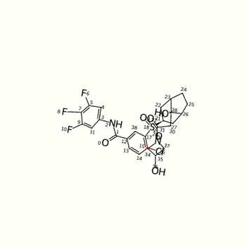 O=C(Nc1cc(F)c(F)c(F)c1)c1ccc(Cl)c(S(=O)(=O)[C@H]2CC3CCC(C2)[C@]3(O)CC(=O)N2CC(O)C2)c1